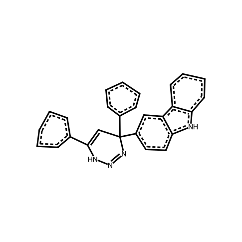 C1=C(c2ccccc2)NN=NC1(c1ccccc1)c1ccc2[nH]c3ccccc3c2c1